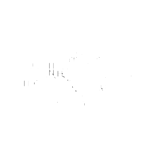 C[C@@H](N[C@@H]1CCCN2C(=O)COc3ccccc3C3CC(C3)OC[C@@H]12)C(F)(F)F